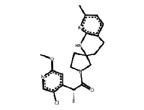 COc1cc([C@@H](C)C(=O)N2CCC3(CCc4ccc(C)nc4N3)C2)c(Cl)cn1